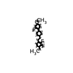 CCc1ccc(CCC2CCC(c3ccc(OC)cc3F)CC2)c(F)c1F